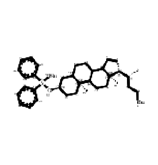 C[C@H](CCC(C)(C)C)[C@H]1CCC2C3CCC4C[C@H](O[Si](c5ccccc5)(c5ccccc5)C(C)(C)C)CC[C@]4(C)C3CC[C@@]21C